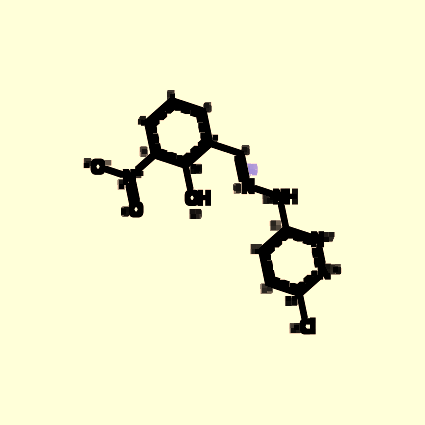 O=[N+]([O-])c1cccc(/C=N/Nc2ccc(Cl)nn2)c1O